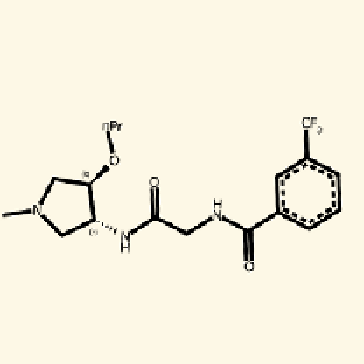 CCCO[C@@H]1CN(C)C[C@H]1NC(=O)CNC(=O)c1cccc(C(F)(F)F)c1